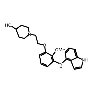 COc1c(Nc2cccc3[nH]ccc23)cccc1OCCN1CCC(O)CC1